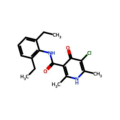 CCc1cccc(CC)c1NC(=O)c1c(C)[nH]c(C)c(Cl)c1=O